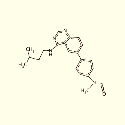 CC(C)CCNc1ncnc2ccc(-c3ccc(N(C)C=O)cc3)cc12